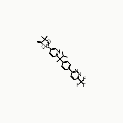 C=C1OB(c2ccc(C(C)(c3ccc(-c4ccc(C(F)(F)F)nn4)cc3)C(C)C)nc2)OC1(C)C